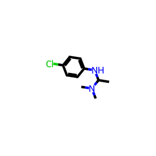 CC(Nc1ccc(Cl)cc1)N(C)C